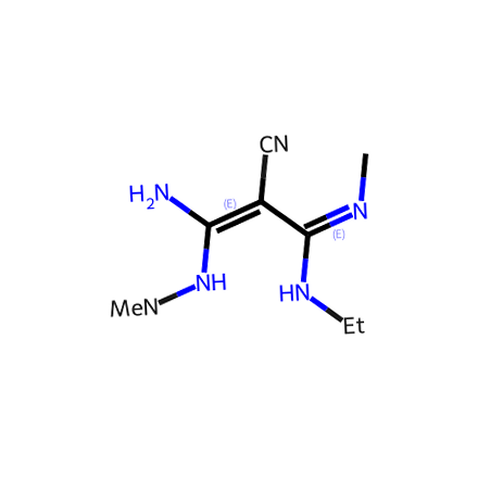 CCNC(=N/C)/C(C#N)=C(/N)NNC